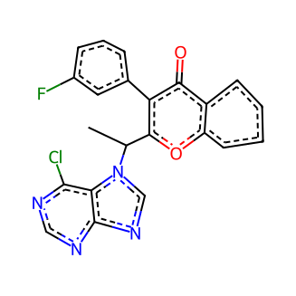 CC(c1oc2ccccc2c(=O)c1-c1cccc(F)c1)n1cnc2ncnc(Cl)c21